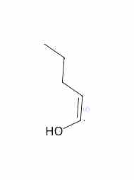 CCC/C=[C]\O